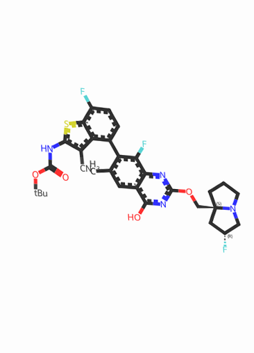 Cc1cc2c(O)nc(OC[C@@]34CCCN3C[C@H](F)C4)nc2c(F)c1-c1ccc(F)c2sc(NC(=O)OC(C)(C)C)c(C#N)c12